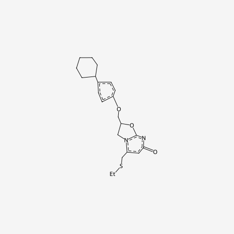 CCSCc1cc(=O)nc2n1CC(COc1ccc(C3CCCCC3)cc1)O2